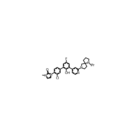 CC(C)N1CCCC12CCN(c1cc(-c3cc(F)cc(-c4ccc(-n5ccn(C)c5=O)c(Cl)c4)c3O)ccn1)C2